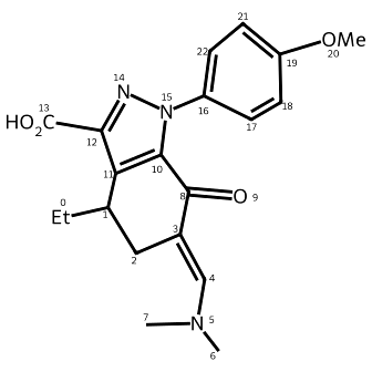 CCC1CC(=CN(C)C)C(=O)c2c1c(C(=O)O)nn2-c1ccc(OC)cc1